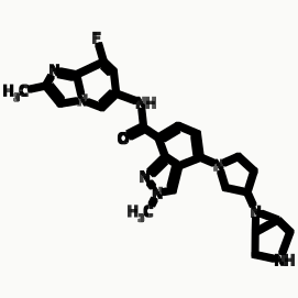 Cc1cn2cc(NC(=O)c3ccc(N4CCC(N5C6CNCC65)C4)c4cn(C)nc34)cc(F)c2n1